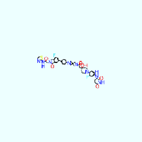 O=C1CCC(Nc2ccc(N3CCCC(O)(CC(=O)N4CC5(C4)CN(c4ccc(-c6cc(F)c7c(c6)C(=O)N(CC(=O)Nc6nccs6)C7)cc4)C5)CC3)c(F)c2)C(=O)N1